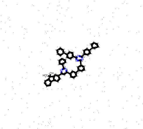 CC1(C)c2ccccc2-c2ccc(-c3cc(-c4cccc(-c5cccc(-c6nc(-c7ccc(-c8ccccc8)cc7)nc(-c7ccc(-c8ccccc8)cc7)n6)c5)c4)nc(-c4ccccc4)n3)cc21